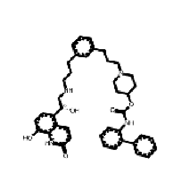 O=C(Nc1ccccc1-c1ccccc1)OC1CCN(CCCc2cccc(CCCNC[C@H](O)c3ccc(O)c4[nH]c(=O)ccc34)c2)CC1